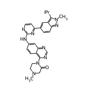 CC(C)c1c2cc(-c3ccnc(Nc4ccc5c(N6CCN(C)CC6=O)ncnc5c4)n3)ccc2nn1C